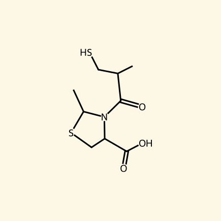 CC(CS)C(=O)N1C(C)SCC1C(=O)O